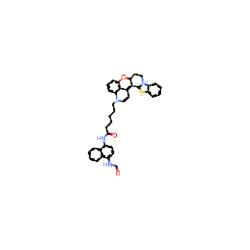 O=CNc1ccc(NC(=O)CCCCCN2C=CC3=C4c5sc6ccccc6[n+]5CCC4Oc4cccc2c43)c2ccccc12